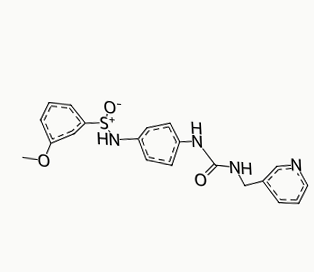 COc1cccc([S+]([O-])Nc2ccc(NC(=O)NCc3cccnc3)cc2)c1